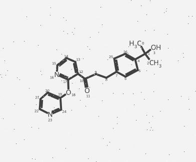 CC(C)(O)c1ccc(CCC(=O)c2cccnc2Oc2cccnc2)cc1